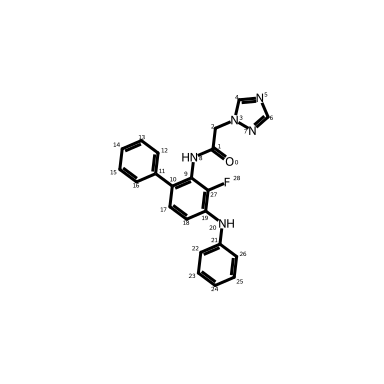 O=C(Cn1cncn1)Nc1c(-c2ccccc2)ccc(Nc2ccccc2)c1F